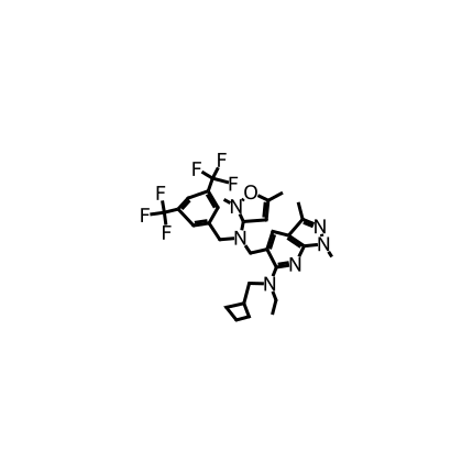 CCN(CC1CCC1)c1nc2c(cc1CN(Cc1cc(C(F)(F)F)cc(C(F)(F)F)c1)C1C=C(C)ON1C)c(C)nn2C